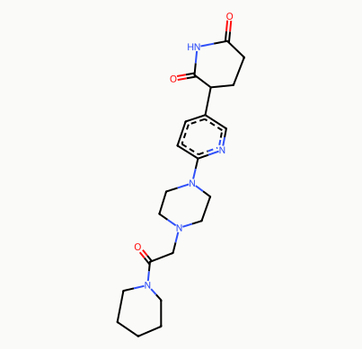 O=C1CCC(c2ccc(N3CCN(CC(=O)N4CCCCC4)CC3)nc2)C(=O)N1